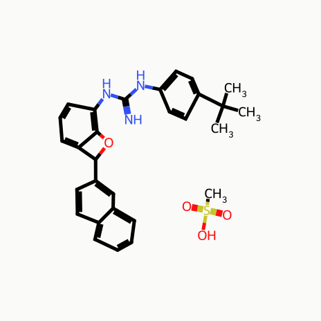 CC(C)(C)c1ccc(NC(=N)Nc2cccc3c2OC3c2ccc3ccccc3c2)cc1.CS(=O)(=O)O